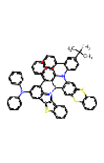 CC(C)(C)c1ccc(N2c3cc4c(cc3B3c5c2cc2ccccc2c5-c2cc(N(c5ccccc5)c5ccccc5)cc5c6sc7ccccc7c6n3c25)Sc2ccccc2S4)c(-c2ccccc2)c1